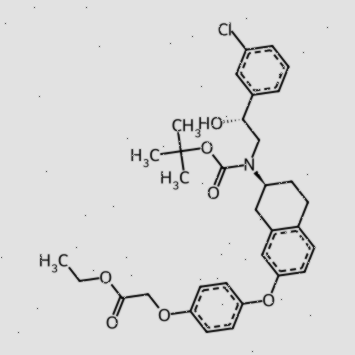 CCOC(=O)COc1ccc(Oc2ccc3c(c2)C[C@@H](N(C[C@H](O)c2cccc(Cl)c2)C(=O)OC(C)(C)C)CC3)cc1